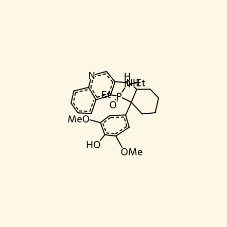 CCNP(=O)(CC)C1(c2cc(OC)c(O)c(OC)c2)CCCCC1Nc1cnc2ccccc2c1